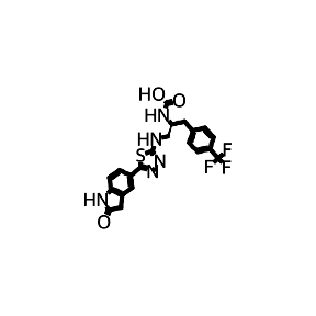 O=C(O)N[C@H](CNc1nnc(-c2ccc3c(c2)CC(=O)N3)s1)Cc1ccc(C(F)(F)F)cc1